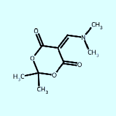 CN(C)C=C1C(=O)OC(C)(C)OC1=O